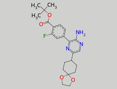 CC(C)(C)OC(=O)c1ccc(-c2nc(C3CCC4(CC3)OCCO4)cnc2N)cc1F